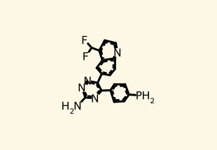 Nc1nnc(-c2ccc3nccc(C(F)F)c3c2)c(-c2ccc(P)cc2)n1